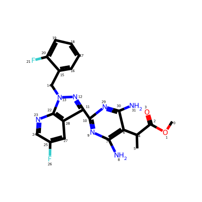 COC(=O)C(C)c1c(N)nc(-c2nn(Cc3ccccc3F)c3ncc(F)cc23)nc1N